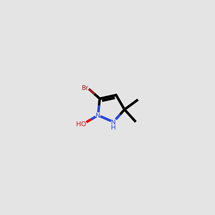 CC1(C)C=C(Br)N(O)N1